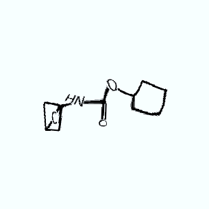 O=C(NC12CC(C1)C2)OC1CCCC1